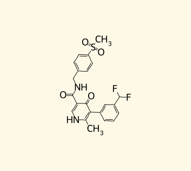 Cc1[nH]cc(C(=O)NCc2ccc(S(C)(=O)=O)cc2)c(=O)c1-c1cccc(C(F)F)c1